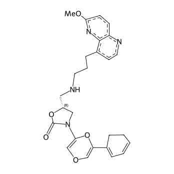 COc1ccc2nccc(CCCNC[C@@H]3CN(C4=COC=C(C5=CC=CCC5)O4)C(=O)O3)c2n1